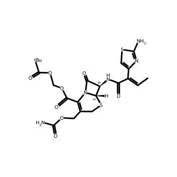 CC=C(C(=O)N[C@@H]1C(=O)N2C(C(=O)OCOC(=O)C(C)(C)C)=C(COC(N)=O)CS[C@@H]12)c1csc(N)n1